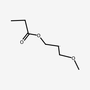 CCC(=O)OC[CH]COC